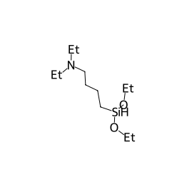 CCO[SiH](CCCCN(CC)CC)OCC